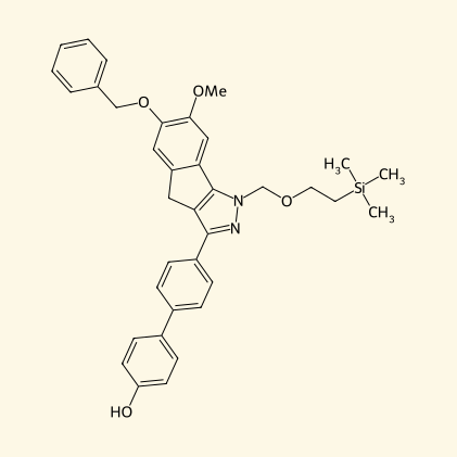 COc1cc2c(cc1OCc1ccccc1)Cc1c(-c3ccc(-c4ccc(O)cc4)cc3)nn(COCC[Si](C)(C)C)c1-2